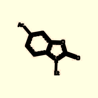 CCn1c(=O)oc2cc(C(C)=O)ccc21